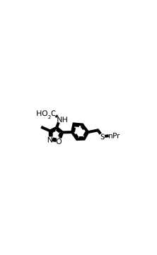 CCCSCc1ccc(-c2onc(C)c2NC(=O)O)cc1